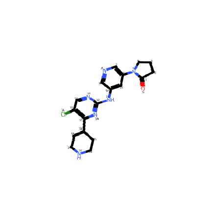 O=C1CCCN1c1cncc(Nc2ncc(Cl)c(C3CCNCC3)n2)c1